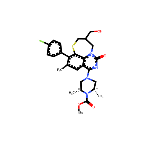 C[C@@H]1CN(c2nc(=O)n3c4c(c(-c5ccc(F)cc5)c(C(F)(F)F)cc24)SCC(CO)C3)C[C@H](C)N1C(=O)OC(C)(C)C